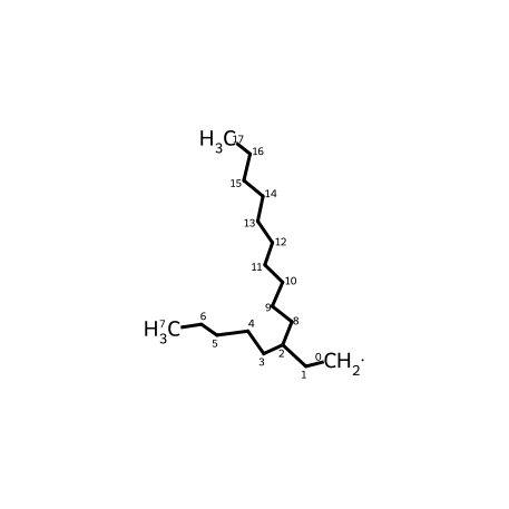 [CH2]CC(CCCCC)CCCCCCCCCC